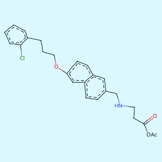 CC(=O)OC(=O)CCNCc1ccc2cc(OCCCc3ccccc3Cl)ccc2c1